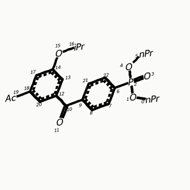 CCCOP(=O)(OCCC)c1ccc(C(=O)c2cc(OC(C)C)cc(C(C)=O)c2)cc1